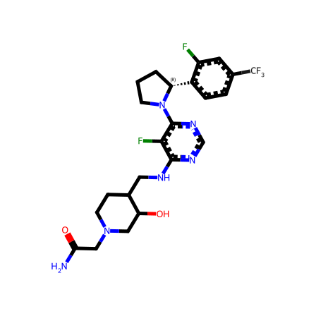 NC(=O)CN1CCC(CNc2ncnc(N3CCC[C@@H]3c3ccc(C(F)(F)F)cc3F)c2F)C(O)C1